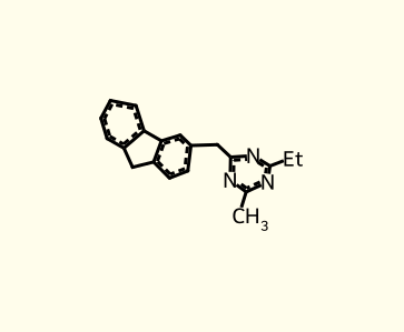 CCc1nc(C)nc(Cc2ccc3c(c2)-c2ccccc2C3)n1